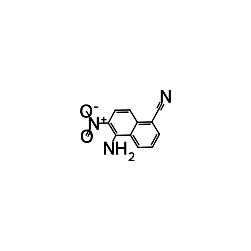 N#Cc1cccc2c(N)c([N+](=O)[O-])ccc12